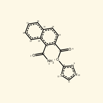 NC(=O)c1c(C(=O)Oc2nncs2)ccc2ccccc12